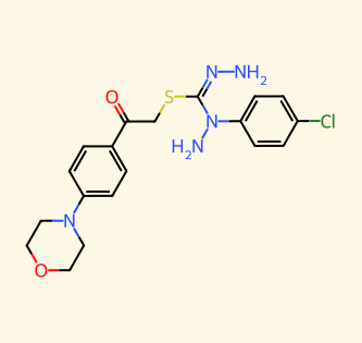 N/N=C(/SCC(=O)c1ccc(N2CCOCC2)cc1)N(N)c1ccc(Cl)cc1